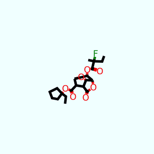 CCC1(OC(=O)C2C3OC4C(OC(=O)C42)C3OC(=O)C(C)(F)CC)CCCC1